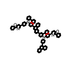 c1ccc(-c2ccccc2N(c2ccc(-c3cnc4c(c3)oc3ccccc34)cc2)c2ccc(-c3cc4ccc(-c5ccc(N(c6ccc(-c7ccc8oc9ccccc9c8n7)cc6)c6ccc(-c7cc8ccccc8c8ccccc78)cc6)c(-c6ccccc6)c5)cc4c4ccccc34)cc2)cc1